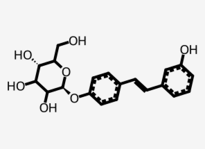 OCC1O[C@@H](Oc2ccc(/C=C/c3cccc(O)c3)cc2)C(O)C(O)[C@@H]1O